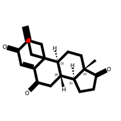 C#CCC12CCC(=O)C=C1C(=O)C[C@@H]1[C@@H]2CC[C@]2(C)C(=O)CC[C@@H]12